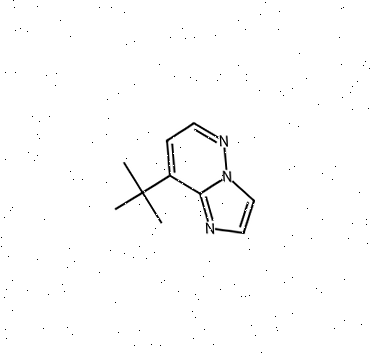 CC(C)(C)c1ccnn2ccnc12